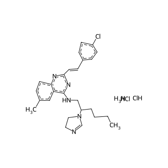 CCCCC(CNc1nc(C=Cc2ccc(Cl)cc2)nc2ccc(C)cc12)N1C=NCC1.Cl.Cl.N